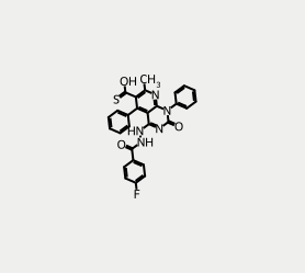 Cc1nc2c(c(NNC(=O)c3ccc(F)cc3)nc(=O)n2-c2ccccc2)c(-c2ccccc2)c1C(O)=S